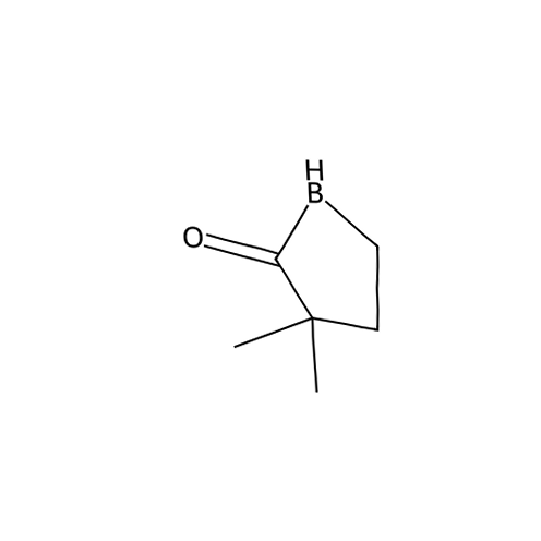 CC1(C)CCBC1=O